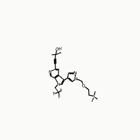 CC(C)(O)C#Cc1cc2c(-c3cnn(COCCS(C)(C)C)c3)cn(CC(F)(F)F)c2cn1